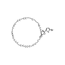 O=C1OC(c2ccc(Br)s2)=NC12CCCCCCCCCCCCCCCCCCCCCCCCCCCCCCCCCCCCCCCOC2